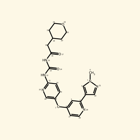 Cn1cc(-c2cc(Oc3ccc(NC(=O)NC(=O)CC4CCOCC4)nc3)ccn2)cn1